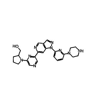 OCC1CCCN1c1cncc(-c2cc3c(cn2)cnn3-c2cccc(N3CCNCC3)n2)n1